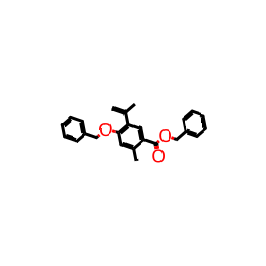 C=C(C)c1cc(C(=O)OCc2ccccc2)c(C)cc1OCc1ccccc1